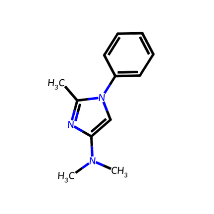 Cc1nc(N(C)C)cn1-c1ccccc1